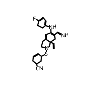 C=CC12CC(C=N)=C(NC3=CC=C(F)CC3)C=C1CCN(SC1C=CCC(C#N)C1)C2